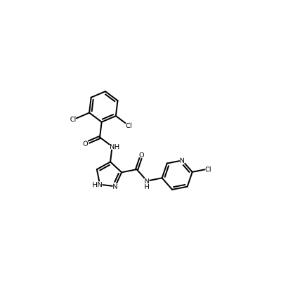 O=C(Nc1ccc(Cl)nc1)c1n[nH]cc1NC(=O)c1c(Cl)cccc1Cl